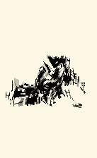 CC(C)C[C@H](NC(=O)[C@H](Cc1c[nH]cn1)NC(=O)[C@H](CC(=O)O)NC(=O)[C@H](CCC(=O)O)NC(=O)[C@H](CCC(=O)O)NC(=O)[C@H](CC(N)=O)NC(=O)[C@@H](NC(=O)[C@@H](N)Cc1c[nH]c2ccccc12)C(C)C)C(=O)O